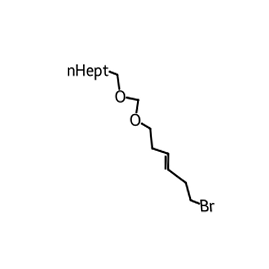 CCCCCCCCOCOCC/C=C/CCBr